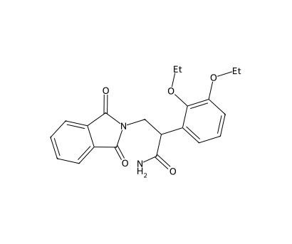 CCOc1cccc(C(CN2C(=O)c3ccccc3C2=O)C(N)=O)c1OCC